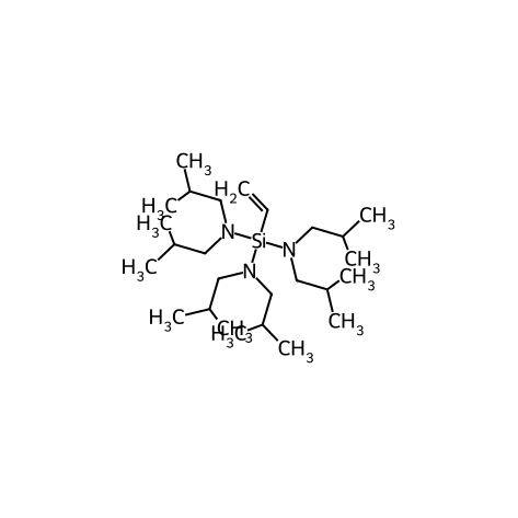 C=C[Si](N(CC(C)C)CC(C)C)(N(CC(C)C)CC(C)C)N(CC(C)C)CC(C)C